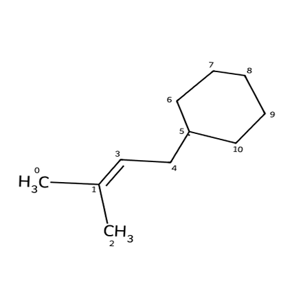 CC(C)=CC[C]1CCCCC1